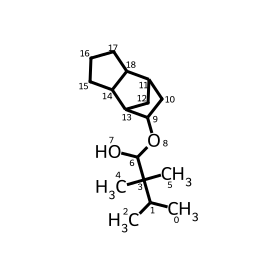 CC(C)C(C)(C)C(O)OC1CC2CC1C1CCCC21